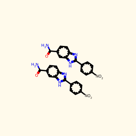 NC(=O)c1ccc2nc(-c3ccc([N+](=O)[O-])cc3)[nH]c2c1.NC(=O)c1ccc2nc(-c3ccc([N+](=O)[O-])cc3)[nH]c2c1